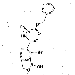 CC(C)c1c(C(=O)N[C@H](C(=O)OCc2ccccc2)C(C)C)ccc2c1B(O)OC2